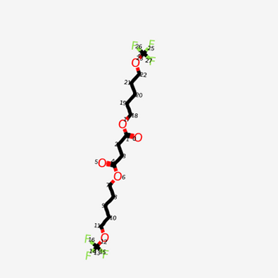 O=C(CCC(=O)OCCCCCOC(F)(F)F)OCCCCCOC(F)(F)F